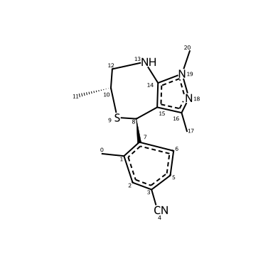 Cc1cc(C#N)ccc1[C@H]1S[C@H](C)CNc2c1c(C)nn2C